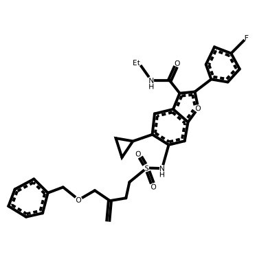 C=C(CCS(=O)(=O)Nc1cc2oc(-c3ccc(F)cc3)c(C(=O)NCC)c2cc1C1CC1)COCc1ccccc1